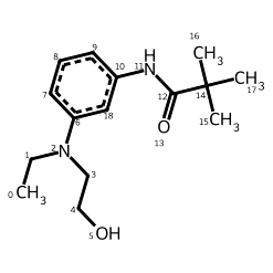 CCN(CCO)c1cccc(NC(=O)C(C)(C)C)c1